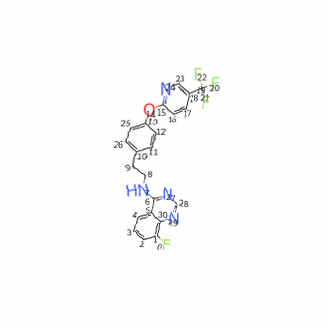 Fc1cccc2c(NCCc3ccc(Oc4ccc(C(F)(F)F)cn4)cc3)ncnc12